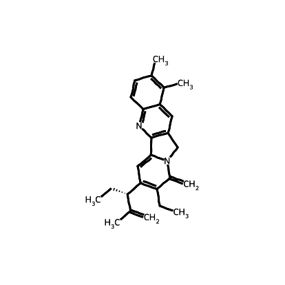 C=C(C)[C@H](CC)C1=C(CC)C(=C)N2Cc3cc4c(C)c(C)ccc4nc3C2=C1